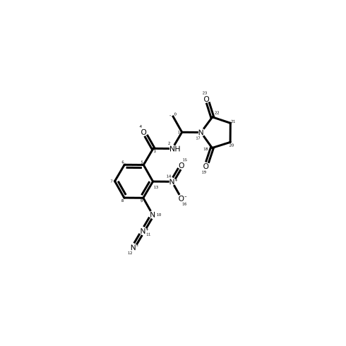 [CH2]C(NC(=O)c1cccc(N=[N+]=[N-])c1[N+](=O)[O-])N1C(=O)CCC1=O